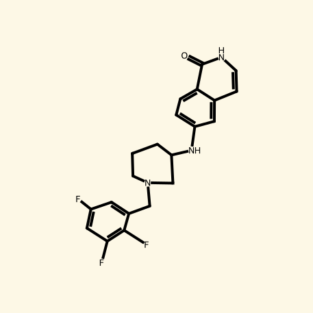 O=c1[nH]ccc2cc(NC3CCCN(Cc4cc(F)cc(F)c4F)C3)ccc12